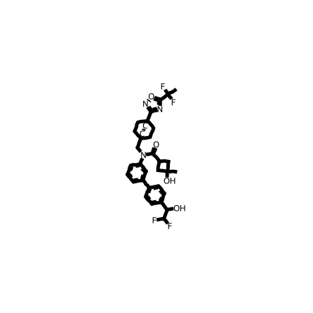 CC1(O)CC(C(=O)N(CC23CCC(c4noc(C(C)(F)F)n4)(CC2)CC3)c2cccc(-c3ccc(C(O)C(F)F)cc3)c2)C1